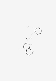 CSc1ccccc1CNC(=O)c1nc(Br)c2cccnc2c1O